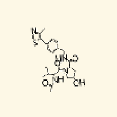 CC(=O)NC(C(=O)N1CC(O)CC1C(=O)NCc1ccc(-c2scnc2C)cc1)C(C)C